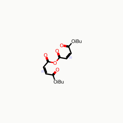 CC(C)COC(=O)/C=C\C(=O)OC(=O)/C=C\C(=O)OCC(C)C